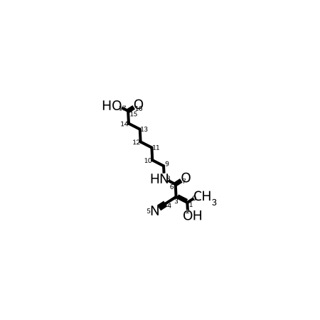 CC(O)=C(C#N)C(=O)NCCCCCCC(=O)O